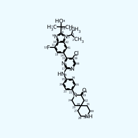 CC(C)n1c(C(C)(C)O)nc2c(F)cc(-c3nc(Nc4ccc(N5CCC6(CCNCC6)CC5=O)cc4)ncc3Cl)cc21